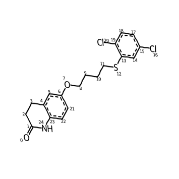 O=C1CCc2cc(OCCCCSc3cc(Cl)ccc3Cl)ccc2N1